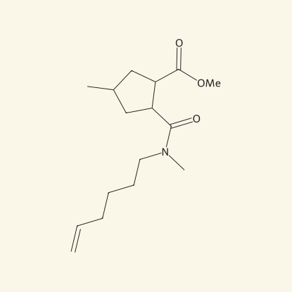 C=CCCCCN(C)C(=O)C1CC(C)CC1C(=O)OC